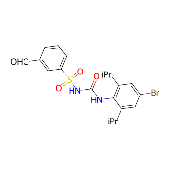 CC(C)c1cc(Br)cc(C(C)C)c1NC(=O)NS(=O)(=O)c1cccc(C=O)c1